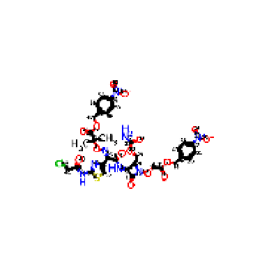 CC(C)(O/N=C(/C(=O)NC1C(=O)N(OCC(=O)OCc2ccc([N+](=O)[O-])cc2)C1COC(N)=O)c1csc(NC(=O)CCl)n1)C(=O)OCc1ccc([N+](=O)[O-])cc1